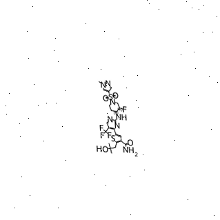 Cn1cc(S(=O)(=O)N2CC[C@@H](Nc3ncc(C(F)(F)F)c(-c4cc(C(N)=O)c(CC(C)(C)O)s4)n3)[C@H](F)C2)cn1